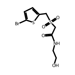 O=C(CS(=O)(=O)Cc1ccc(Br)s1)NCCO